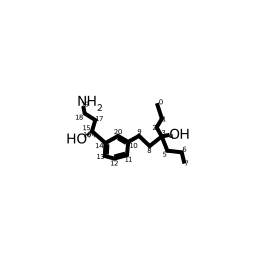 CCCC(O)(CCC)CCc1cccc([C@H](O)CCN)c1